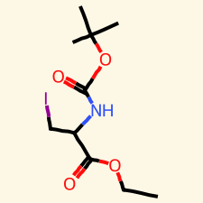 CCOC(=O)C(CI)NC(=O)OC(C)(C)C